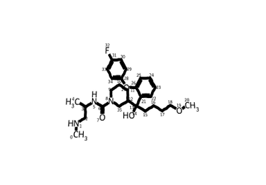 CNCC(C)NC(=O)N1CCCC(C(O)(CCCCOC)c2ccccc2Oc2ccc(F)cc2)C1